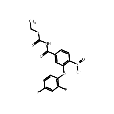 CCSC(=S)NC(=O)c1ccc([N+](=O)[O-])c(Oc2ccc(F)cc2F)c1